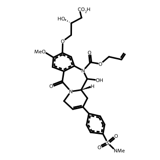 C=CCOC(=O)N1c2cc(OC[C@H](O)CC(=O)O)c(OC)cc2C(=O)N2CC=C(c3ccc(S(=O)(=O)NC)cc3)C[C@H]2C1O